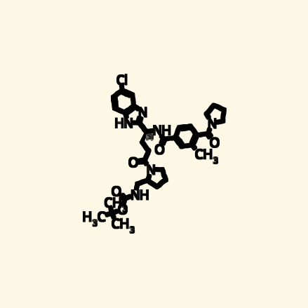 Cc1cc(C(=O)N[C@@H](CCC(=O)N2CCCC2CNC(=O)OC(C)(C)C)c2nc3cc(Cl)ccc3[nH]2)ccc1C(=O)N1CCCC1